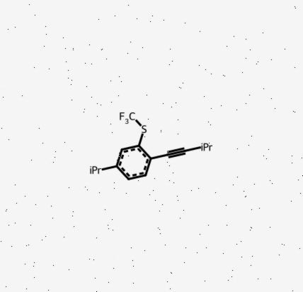 CC(C)C#Cc1ccc(C(C)C)cc1SC(F)(F)F